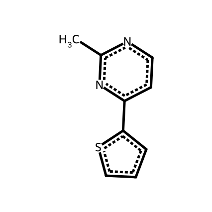 Cc1nccc(-c2cccs2)n1